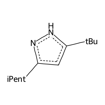 CCCC(C)c1cc(C(C)(C)C)[nH]n1